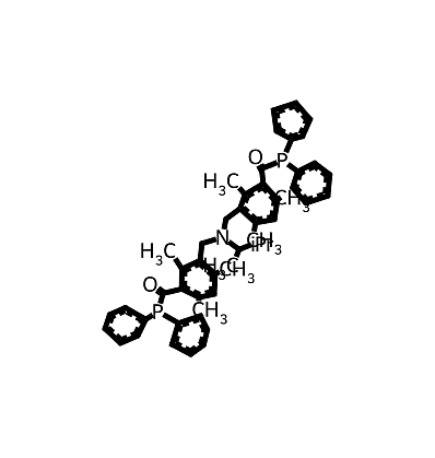 Cc1cc(C)c(C(=O)P(c2ccccc2)c2ccccc2)c(C)c1CN(Cc1c(C)cc(C)c(C(=O)P(c2ccccc2)c2ccccc2)c1C)C(C)C(C)C